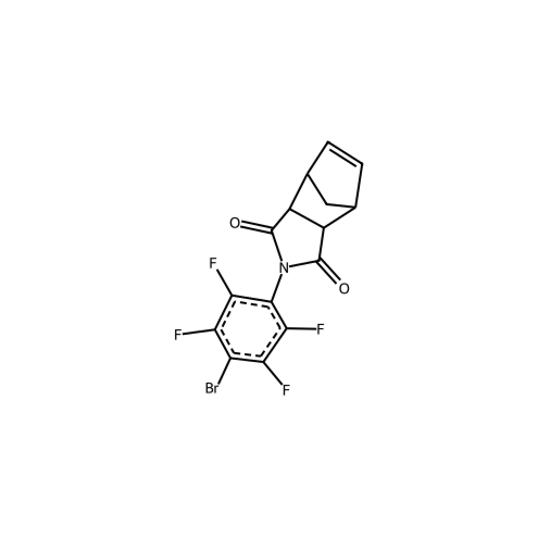 O=C1C2C3C=CC(C3)C2C(=O)N1c1c(F)c(F)c(Br)c(F)c1F